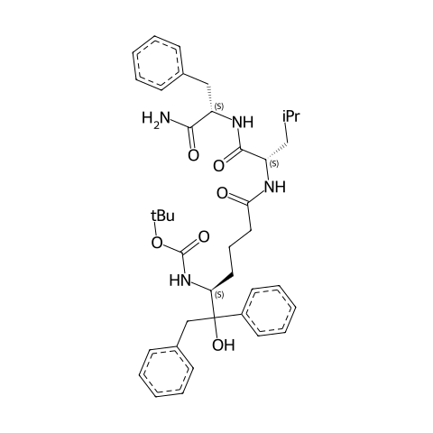 CC(C)C[C@H](NC(=O)CCC[C@H](NC(=O)OC(C)(C)C)C(O)(Cc1ccccc1)c1ccccc1)C(=O)N[C@@H](Cc1ccccc1)C(N)=O